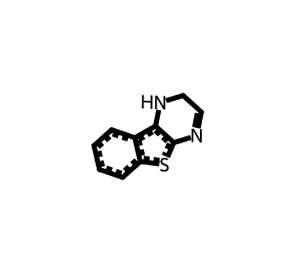 C1=Nc2sc3ccccc3c2NC1